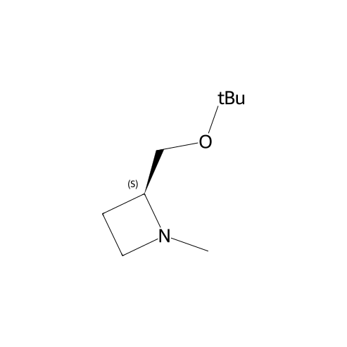 CN1CC[C@H]1COC(C)(C)C